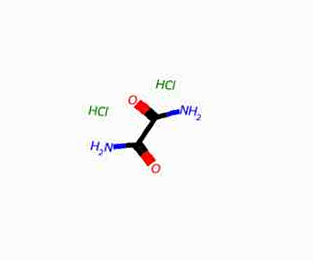 Cl.Cl.NC(=O)C(N)=O